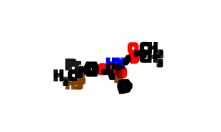 C=C(C)C(=O)OCCNC(=O)OC(COc1ccc(C(C(C)C)C(C)SS)cc1)CSc1ccccc1